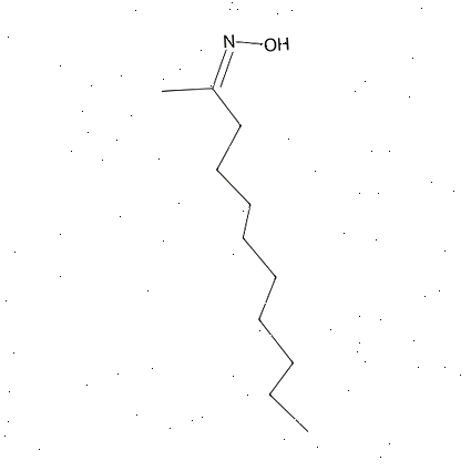 CCCCCCCCC/C(C)=N\O